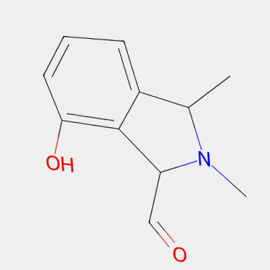 CC1c2cccc(O)c2C(C=O)N1C